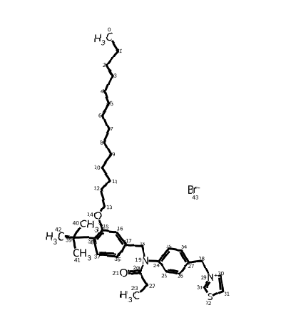 CCCCCCCCCCCCCCOc1cc(CN(C(=O)CC)c2ccc(C[n+]3ccsc3)cc2)ccc1C(C)(C)C.[Br-]